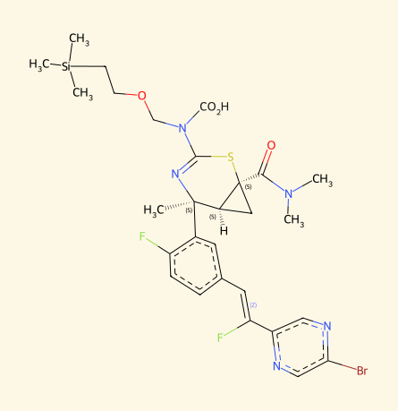 CN(C)C(=O)[C@]12C[C@H]1[C@@](C)(c1cc(/C=C(\F)c3cnc(Br)cn3)ccc1F)N=C(N(COCC[Si](C)(C)C)C(=O)O)S2